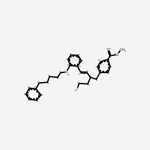 COC(=O)c1ccc(CC(/C=C/c2ccccc2OCCCCCc2ccccc2)CCI)cc1